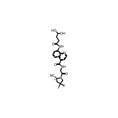 N#C[C@@H]1CC(F)(F)CN1C(=O)CNC(=O)c1ccnc2c(NC(=O)CCC(O)O)cccc12